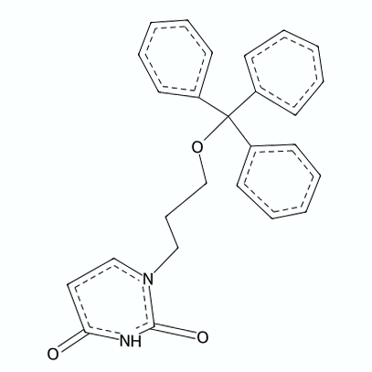 O=c1ccn(CCCOC(c2ccccc2)(c2ccccc2)c2ccccc2)c(=O)[nH]1